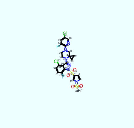 CC(C)S(=O)(=O)n1ccc(S(=O)(=O)n2nc(N3CCN(c4ncc(Cl)cc4F)CC34CC4)c3c(Cl)ccc(F)c32)c1